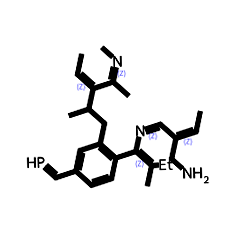 C\C=C(/C=N\C(=C(\C)CC)c1ccc(C=P)cc1CC(C)C(=C/C)/C(C)=N\C)CN